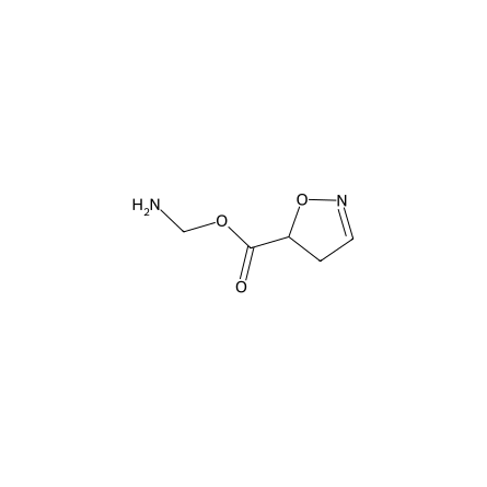 NCOC(=O)C1CC=NO1